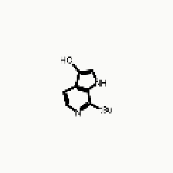 CC(C)(C)c1nccc2c(O)c[nH]c12